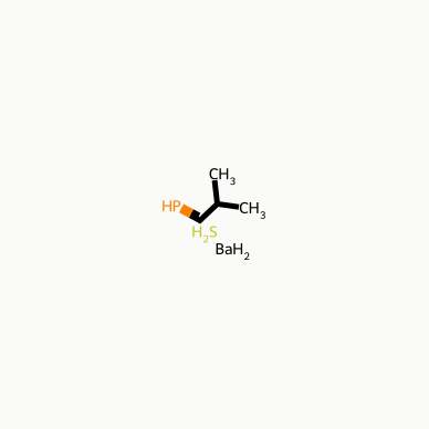 CC(C)C=P.S.[BaH2]